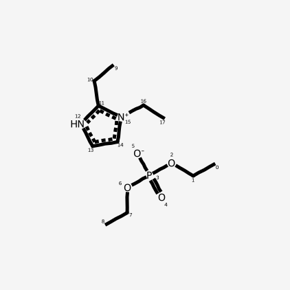 CCOP(=O)([O-])OCC.CCc1[nH]cc[n+]1CC